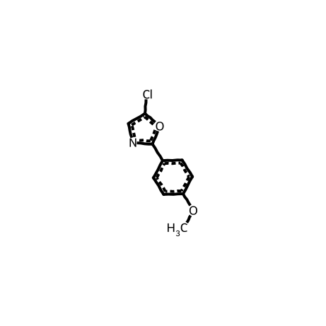 COc1ccc(-c2ncc(Cl)o2)cc1